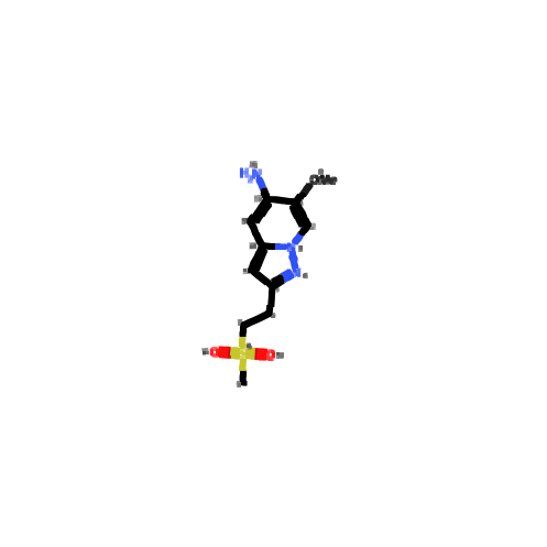 COc1cn2nc(CCS(C)(=O)=O)cc2cc1N